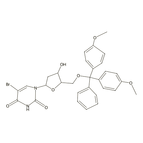 COc1ccc(C(OCC2OC(n3cc(Br)c(=O)[nH]c3=O)CC2O)(c2ccccc2)c2ccc(OC)cc2)cc1